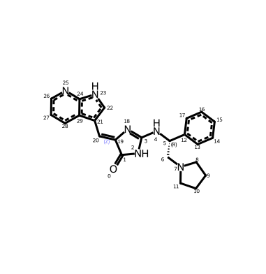 O=C1NC(N[C@@H](CN2CCCC2)c2ccccc2)=N/C1=C\c1c[nH]c2ncccc12